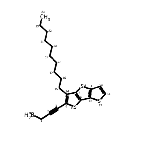 BCC#Cc1sc2c(sc3ccsc32)c1CCCCCCCCCC